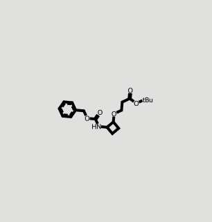 CC(C)(C)OC(=O)CCOC1CCC1NC(=O)OCc1ccccc1